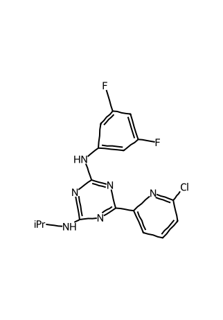 CC(C)Nc1nc(Nc2cc(F)cc(F)c2)nc(-c2cccc(Cl)n2)n1